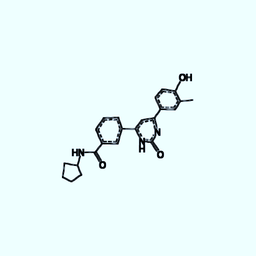 Cc1cc(-c2cc(-c3cccc(C(=O)NC4CCCC4)c3)[nH]c(=O)n2)ccc1O